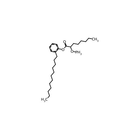 CCCCCCCCCCCCc1ccccc1OC(=O)C(CCCCCC)OP